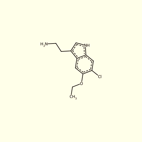 CCOc1cc2c(CCN)c[nH]c2cc1Cl